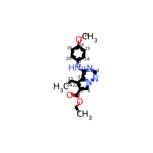 CCOC(=O)c1cn2ncnc(Nc3ccc(OC)cc3)c2c1CC